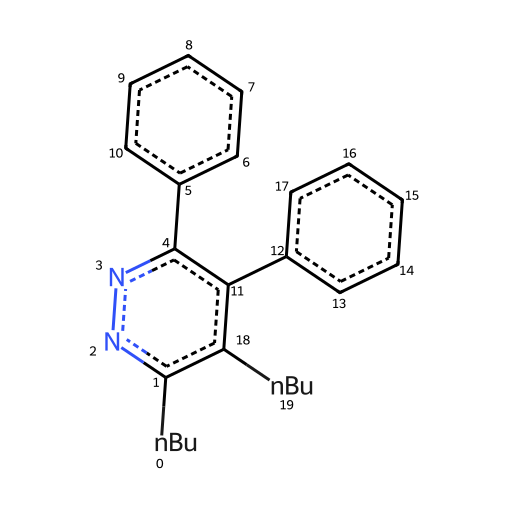 CCCCc1nnc(-c2ccccc2)c(-c2ccccc2)c1CCCC